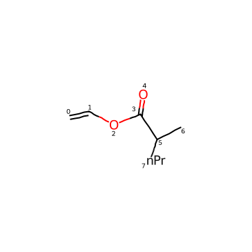 C=COC(=O)C(C)CCC